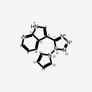 c1cnc2[nH]cc(-c3nnnn3-n3cccc3)c2c1